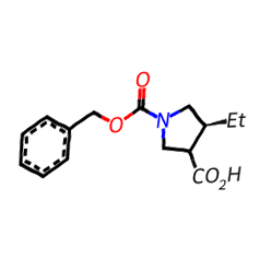 CC[C@@H]1CN(C(=O)OCc2ccccc2)CC1C(=O)O